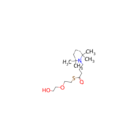 CC1(C)CCCC(C)(C)N1CCCC(=O)SCCOCCO